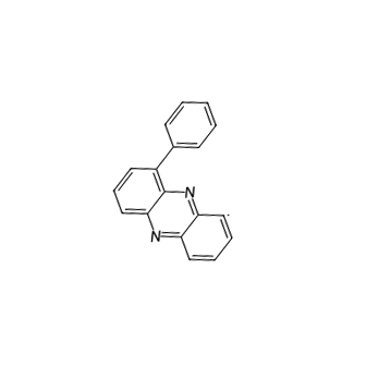 [c]1cccc2nc3cccc(-c4ccccc4)c3nc12